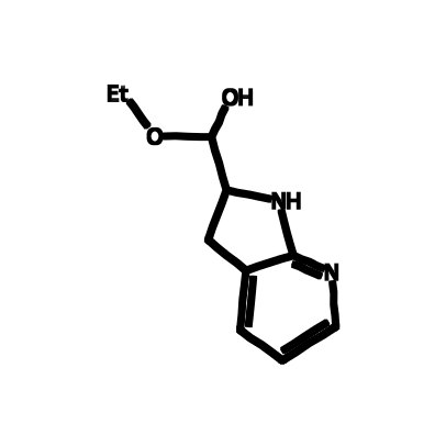 CCOC(O)C1Cc2cccnc2N1